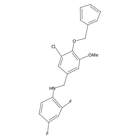 COc1cc(CNc2ccc(F)cc2F)cc(Cl)c1OCc1ccccc1